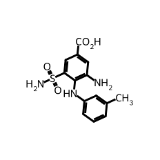 Cc1cccc(Nc2c(N)cc(C(=O)O)cc2S(N)(=O)=O)c1